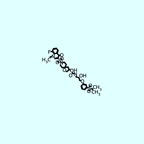 CCn1cc(S(=O)(=O)N2CCC3(CC2)C[C@@H](OC(=O)NCC(O)COc2cccc(S(=O)(=O)C(C)C)c2)CO3)c(=O)c2cccc(F)c21